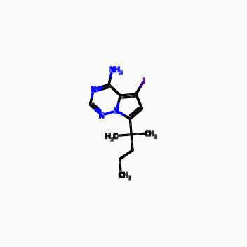 CCCC(C)(C)c1cc(I)c2c(N)ncnn12